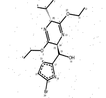 CCOC1=N[C@H](C(C)C)C(OCC)=N[C@H]1C(O)c1nc(Br)cs1